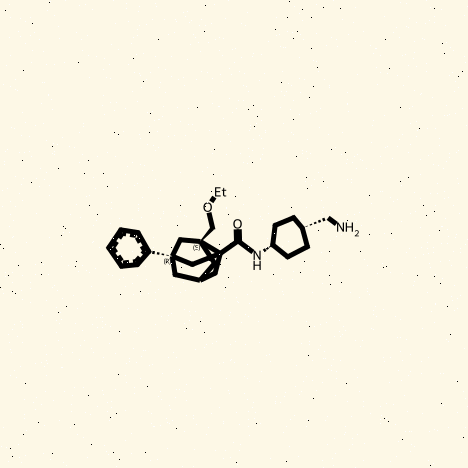 CCOC[C@]12CC3CC1(C(=O)N[C@H]1CC[C@@H](CN)CC1)C[C@@](c1ccccc1)(C3)C2